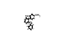 Nc1ccc(-c2c(N)cccc2Oc2ccccc2)cc1